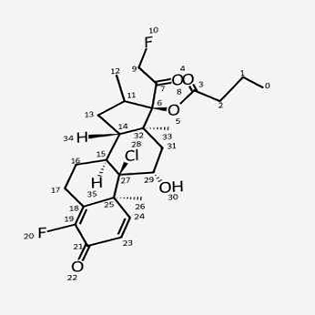 CCCC(=O)O[C@]1(C(=O)CF)C(C)C[C@H]2[C@@H]3CCC4=C(F)C(=O)C=C[C@]4(C)[C@@]3(Cl)[C@@H](O)C[C@@]21C